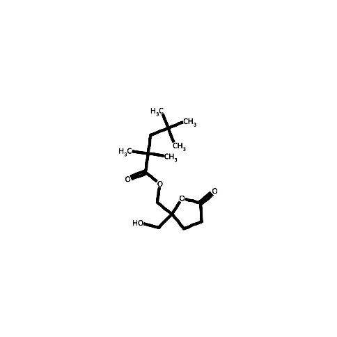 CC(C)(C)CC(C)(C)C(=O)OCC1(CO)CCC(=O)O1